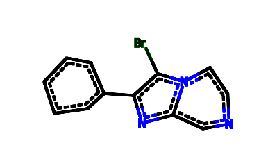 Brc1c(-c2ccccc2)nc2cnccn12